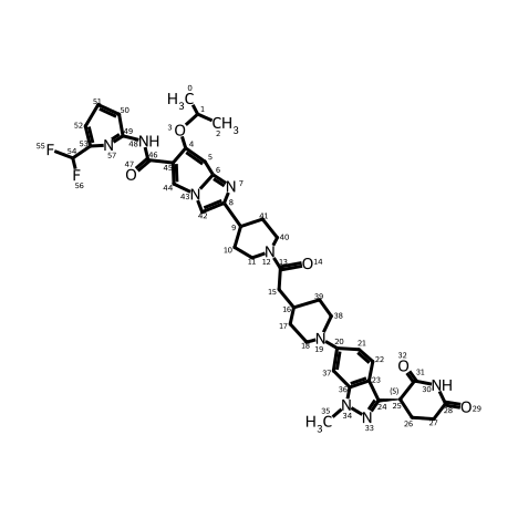 CC(C)Oc1cc2nc(C3CCN(C(=O)CC4CCN(c5ccc6c([C@@H]7CCC(=O)NC7=O)nn(C)c6c5)CC4)CC3)cn2cc1C(=O)Nc1cccc(C(F)F)n1